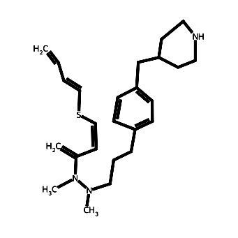 C=C/C=C/S/C=C\C(=C)N(C)N(C)CCCc1ccc(CC2CCNCC2)cc1